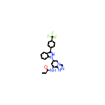 C=CC(=O)Nc1cc(-n2nc(-c3ccc(C(F)(F)F)cc3)c3ccccc32)cn2cnnc12